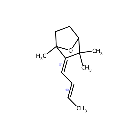 C/C=C/C=C1/C2(C)CCC(O2)C1(C)C